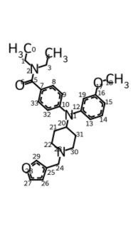 CCN(CC)C(=O)c1ccc(N(c2cccc(OC)c2)C2CCN(Cc3ccoc3)CC2)cc1